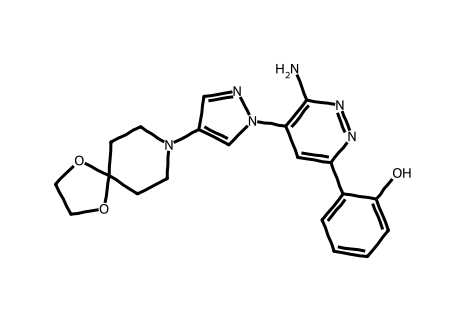 Nc1nnc(-c2ccccc2O)cc1-n1cc(N2CCC3(CC2)OCCO3)cn1